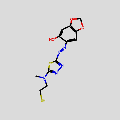 CN(CCS)c1nnc(/N=N/c2cc3c(cc2O)OCO3)s1